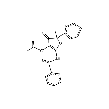 CC(=O)OC1=C(NC(=O)c2ccccc2)OC(C)(c2ccccn2)C1=O